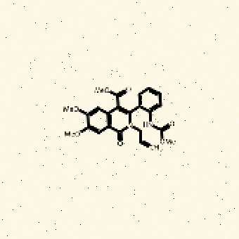 C=CCn1c(-c2ccccc2NC(=O)OC)c(C(=O)OC)c2cc(OC)c(OC)cc2c1=O